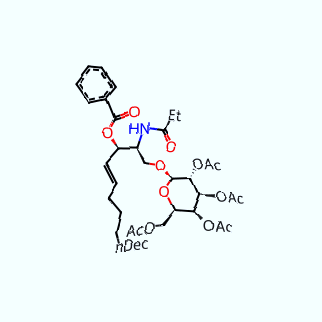 CCCCCCCCCCCCC/C=C/[C@@H](OC(=O)c1ccccc1)[C@H](CO[C@@H]1O[C@H](COC(C)=O)[C@H](OC(C)=O)[C@H](OC(C)=O)[C@H]1OC(C)=O)NC(=O)CC